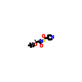 C[C@@H](O[Si](C)(C)C(C)(C)C)[C@@H]1CN(SC(=O)c2ccncc2)C1=O